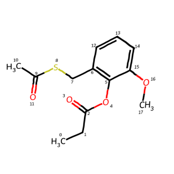 CCC(=O)Oc1c(CSC(C)=O)cccc1OC